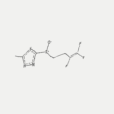 Cc1nnc([S+]([O-])CCC(F)=C(F)F)s1